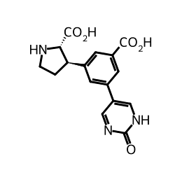 O=C(O)c1cc(-c2cnc(=O)[nH]c2)cc([C@H]2CCN[C@@H]2C(=O)O)c1